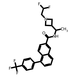 CC(NC(=O)c1ccc2c(-c3ccc(C(F)(F)F)cc3)cccc2c1)C1CN(CC(F)F)C1